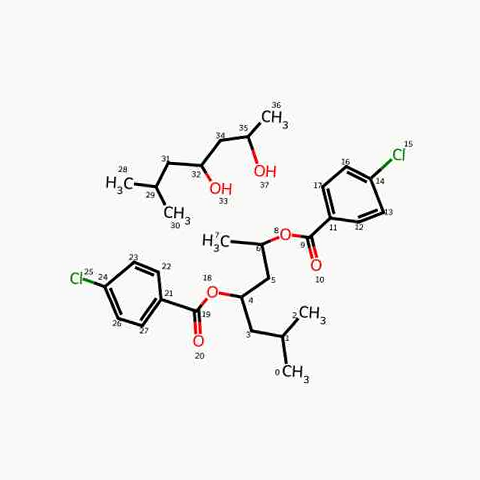 CC(C)CC(CC(C)OC(=O)c1ccc(Cl)cc1)OC(=O)c1ccc(Cl)cc1.CC(C)CC(O)CC(C)O